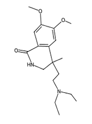 CCN(CC)CCC1(C)CNC(=O)c2cc(OC)c(OC)cc21